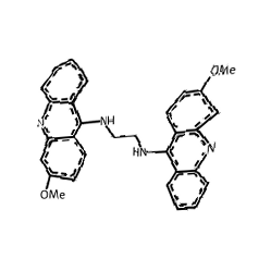 COc1ccc2c(NCCNc3c4ccccc4nc4cc(OC)ccc34)c3ccccc3nc2c1